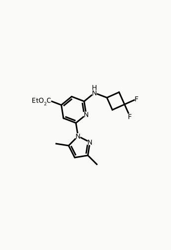 CCOC(=O)c1cc(NC2CC(F)(F)C2)nc(-n2nc(C)cc2C)c1